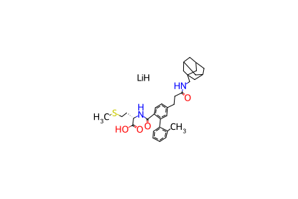 CSCC[C@H](NC(=O)c1ccc(CCC(=O)NCC23CC4CC(CC(C4)C2)C3)cc1-c1ccccc1C)C(=O)O.[LiH]